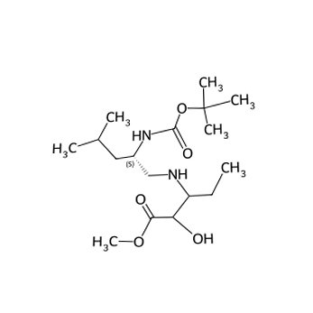 CCC(NC[C@H](CC(C)C)NC(=O)OC(C)(C)C)C(O)C(=O)OC